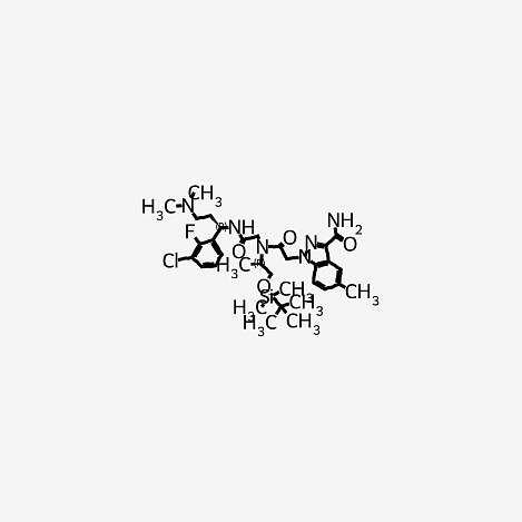 Cc1ccc2c(c1)c(C(N)=O)nn2CC(=O)N(CC(=O)N[C@H](CCN(C)C)c1cccc(Cl)c1F)[C@H](C)CO[Si](C)(C)C(C)(C)C